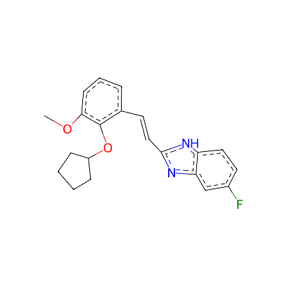 COc1cccc(/C=C/c2nc3cc(F)ccc3[nH]2)c1OC1CCCC1